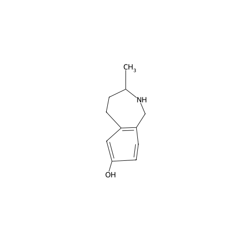 CC1CCc2cc(O)ccc2CN1